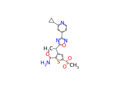 CC(c1nc(-c2ccnc(C3CC3)c2)no1)c1cc(S(C)(=O)=O)sc1C(N)=O